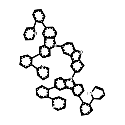 C1=CNC(c2ccccc2-c2ccc3c(c2)c2cc(-c4ccccc4-c4ccccn4)ccc2n3-c2ccc3oc4ccc(-n5c6ccc(-c7ccccc7-c7ccccn7)cc6c6cc(-c7ccccc7-c7ccccn7)ccc65)cc4c3c2)C=C1